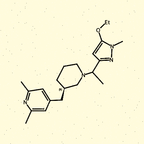 CCOc1cc(C(C)N2CCC[C@H](Cc3cc(C)nc(C)c3)C2)nn1C